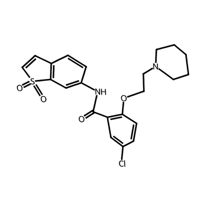 O=C(Nc1ccc2c(c1)S(=O)(=O)C=C2)c1cc(Cl)ccc1OCCN1CCCCC1